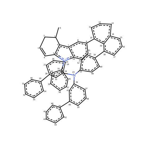 CC1CC=Cc2c1c1cc(-c3cccc4cccc(-c5ccc(N(c6cccc(-c7ccccc7)c6)c6cccc(-c7ccccc7)c6)cc5)c34)ccc1n2-c1ccccc1